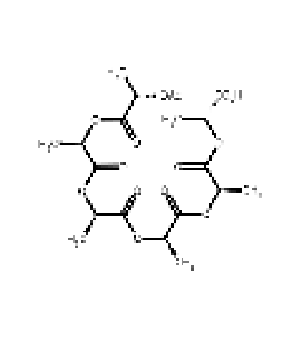 CC(=O)O[C@@H](C)C(=O)O[C@H](C)C(=O)O[C@H](C)C(=O)O[C@H](C)C(=O)O[C@H](C)C(=O)O[C@H](C)C(=O)O